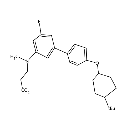 CN(CCC(=O)O)c1cc(F)cc(-c2ccc(OC3CCC(C(C)(C)C)CC3)cc2)c1